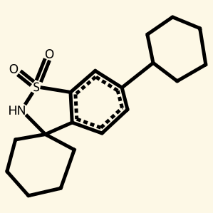 O=S1(=O)NC2(CCCCC2)c2ccc(C3CCCCC3)cc21